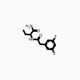 CCC(NC(=O)Cc1cc(F)cc(F)c1)C(N)=O